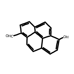 O=Cc1ccc2ccc3c(O)ccc4ccc1c2c43